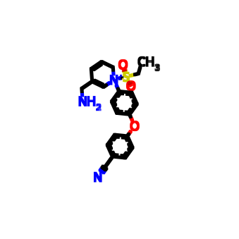 CCS(=O)(=O)[N+]1(c2ccc(Oc3ccc(C#N)cc3)cc2)C=C(CN)C=CC1